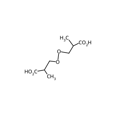 CC(COOCC(C)C(=O)O)C(=O)O